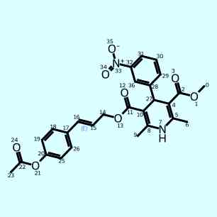 COC(=O)C1=C(C)NC(C)=C(C(=O)OC/C=C/c2ccc(OC(C)=O)cc2)C1c1cccc([N+](=O)[O-])c1